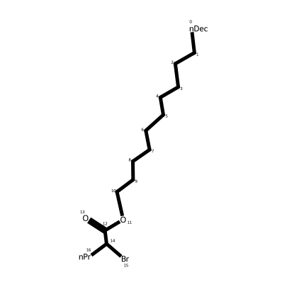 CCCCCCCCCCCCCCCCCCCCOC(=O)C(Br)CCC